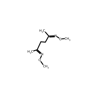 CON=C(C)CCC(C)=NOC